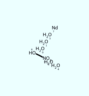 O.O.O.O.O.O=[N+]([O-])O.[Nd]